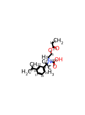 C=CC(=O)OCCN(C(=O)O)C(C)(C)c1cccc(C(=C)C)c1